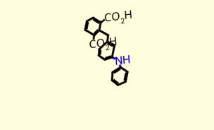 O=C(O)c1cccc(C(=O)O)c1Cc1cccc(Nc2ccccc2)c1